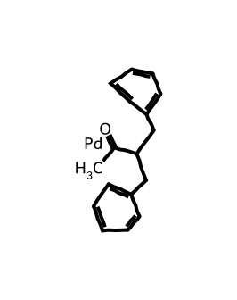 CC(=O)C(Cc1ccccc1)Cc1ccccc1.[Pd]